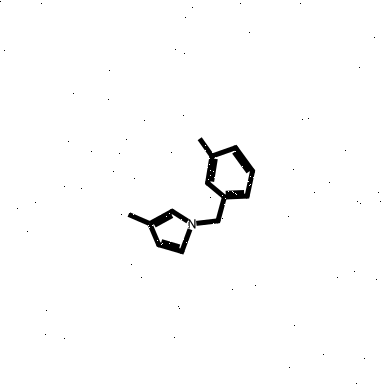 Cc1cccc(Cn2ccc(C)c2)c1